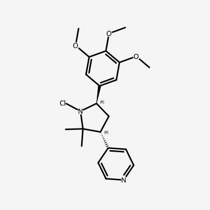 COc1cc([C@H]2C[C@H](c3ccncc3)C(C)(C)N2Cl)cc(OC)c1OC